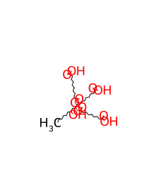 CCCCCCC(O)CC(OC(=O)CCCCCCCC(=O)O)C(CCCCCCCC(=O)O)OC(=O)CCCCCCCCC(=O)O